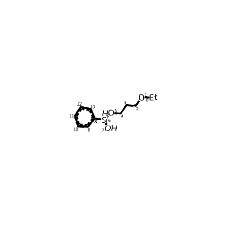 CCOCCCO[SiH](O)c1ccccc1